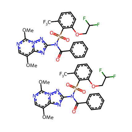 COc1cnc(OC)n2nc(N(C(=O)c3ccccc3)S(=O)(=O)c3c(OCC(F)F)cccc3C(F)(F)F)nc12.COc1cnc(OC)n2nc(N(C(=O)c3ccccc3)S(=O)(=O)c3c(OCC(F)F)cccc3C(F)(F)F)nc12